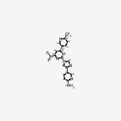 Nc1ccc(-c2cn(-c3nc(-c4ccc(C(F)(F)F)nc4)cc(C(F)F)n3)cn2)cn1